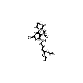 CCOC(CCCNc1nc(Cl)nc(N2CCOCC2)c1[N+](=O)[O-])OCC